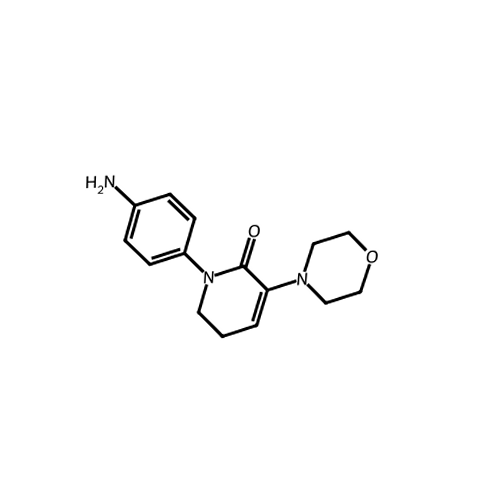 Nc1ccc(N2CCC=C(N3CCOCC3)C2=O)cc1